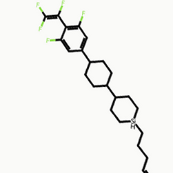 C=CCCC[SiH]1CCC(C2CCC(c3cc(F)c(C(F)=C(F)F)c(F)c3)CC2)CC1